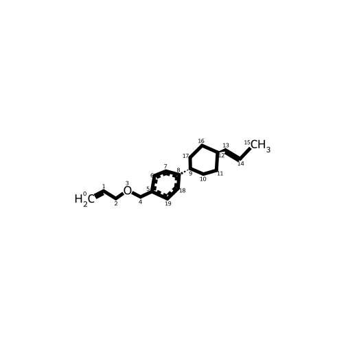 C=CCOCc1ccc([C@H]2CC[C@H](C=CC)CC2)cc1